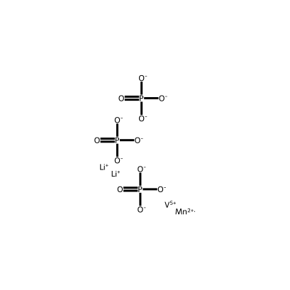 O=P([O-])([O-])[O-].O=P([O-])([O-])[O-].O=P([O-])([O-])[O-].[Li+].[Li+].[Mn+2].[V+5]